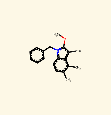 Cc1ccc2c(c1C)c(C(C)(C)C)c(O[SiH3])n2Cc1ccccc1